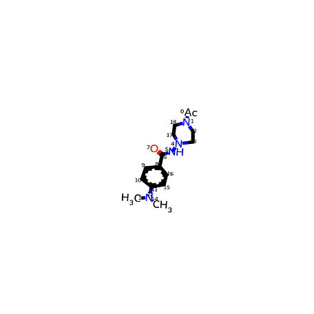 CC(=O)N1CCN(NC(=O)c2ccc(N(C)C)cc2)CC1